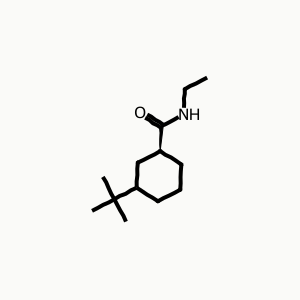 CCNC(=O)[C@H]1CCCC(C(C)(C)C)C1